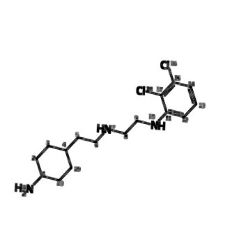 NC1CCC(CCNCCNc2cccc(Cl)c2Cl)CC1